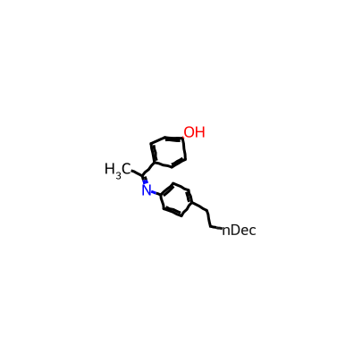 CCCCCCCCCCCCc1ccc(N=C(C)c2ccc(O)cc2)cc1